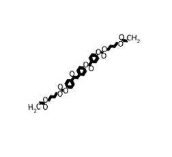 C=CC(=O)OCCCCOC(=O)Oc1ccc(C(=O)Cc2ccc(OC(=O)c3ccc(OC(=O)OCCCCOC(=O)C=C)cc3)cc2)cc1